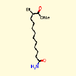 CCC(CCCCCCCCCC(N)=O)C(=O)OC